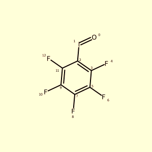 O=Ic1c(F)c(F)c(F)c(F)c1F